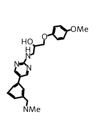 CNCc1cccc(-c2cnc(NCC(O)COc3ccc(OC)cc3)nc2)c1